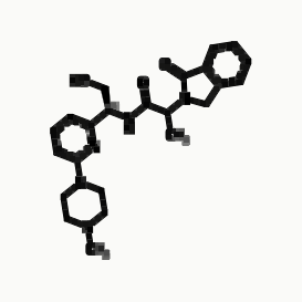 CC(C(=O)N[C@H](CO)c1cccc(N2CCN(C)CC2)n1)N1Cc2ccccc2C1=O